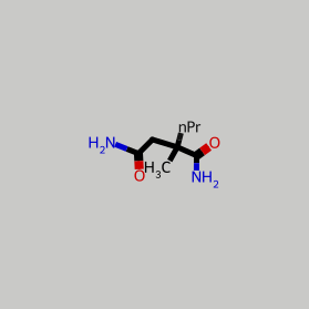 CCCC(C)(CC(N)=O)C(N)=O